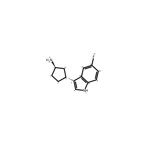 N[C@@H]1CC[C@@H](c2c[nH]c3ccc(F)cc23)C1